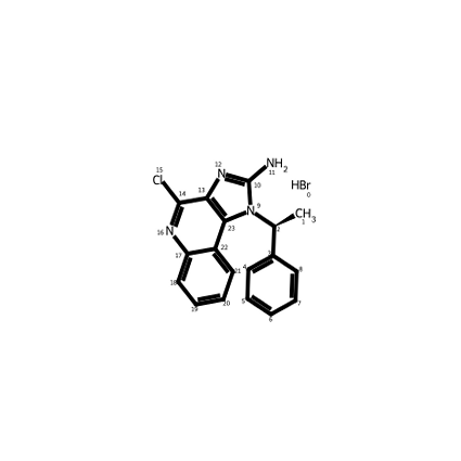 Br.C[C@@H](c1ccccc1)n1c(N)nc2c(Cl)nc3ccccc3c21